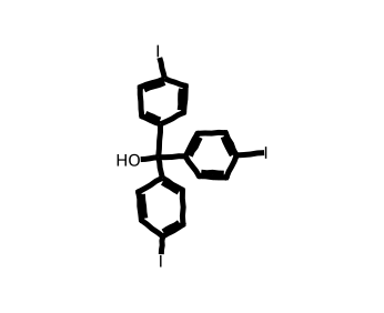 OC(c1ccc(I)cc1)(c1ccc(I)cc1)c1ccc(I)cc1